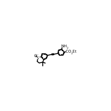 CCOC(=O)c1ccc(C#Cc2ccc3c(c2)C(C)(C)CC[S+]3[O-])cc1N